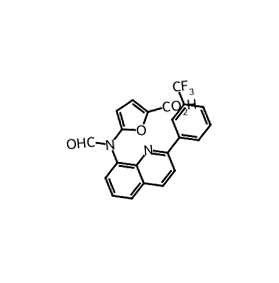 O=CN(c1ccc(C(=O)O)o1)c1cccc2ccc(-c3cccc(C(F)(F)F)c3)nc12